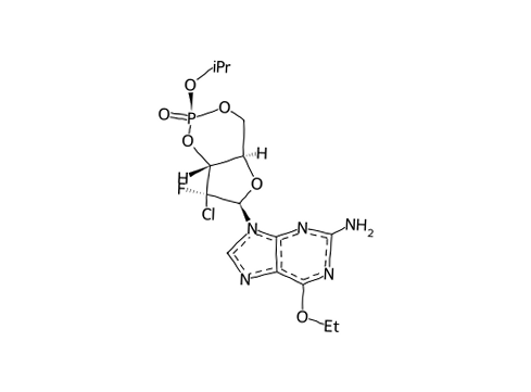 CCOc1nc(N)nc2c1ncn2[C@@H]1O[C@@H]2CO[P@](=O)(OC(C)C)O[C@H]2[C@]1(F)Cl